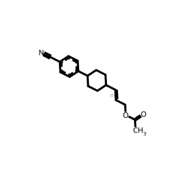 CC(=O)OC/C=C/C1CCC(c2ccc(C#N)cc2)CC1